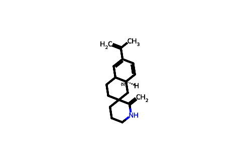 C=C(C)C1=CC2CCC3(CCCNC3=C)C[C@@H]2C=C1